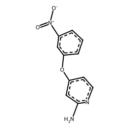 Nc1cc(Oc2cccc([N+](=O)[O-])c2)ccn1